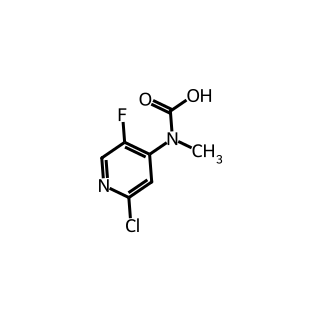 CN(C(=O)O)c1cc(Cl)ncc1F